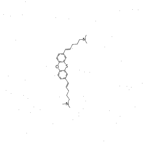 CN(C)CCCC=Cc1ccc2c(c1)Sc1cc(C=CCCCN(C)C)ccc1O2